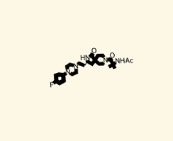 CC(=O)NC(C)(C)C(=O)N1CCC2(CC1)C[C@H](CCN1CCN(c3ccc(F)cc3)CC1)NC2=O